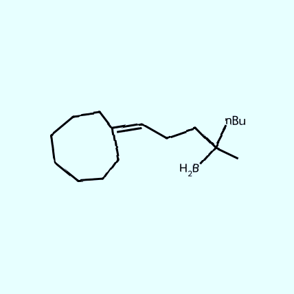 BC(C)(CCC=C1CCCCCCC1)CCCC